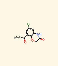 COC(=O)c1cc(Cl)cc2c1O[CH]C(=O)N2